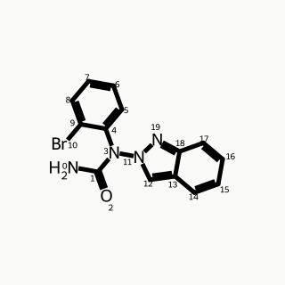 NC(=O)N(c1ccccc1Br)n1cc2ccccc2n1